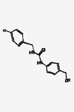 O=C(NCc1ccc(Cl)cc1)Nc1ccc(CO)cc1